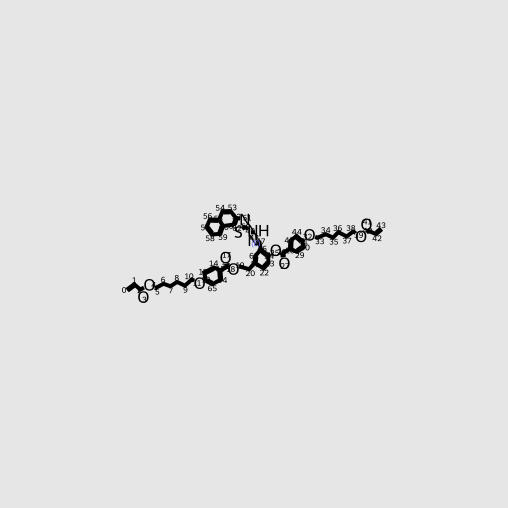 C=CC(=O)OCCCCCCOc1ccc(C(=O)OCCc2ccc(OC(=O)c3ccc(OCCCCCCOC(=O)C=C)cc3)c(/C=N/Nc3nc4ccc5ccccc5c4s3)c2)cc1